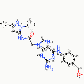 CCn1nc(C)cc1NC(=O)Cn1cnc2c(Nc3ccc(CO)cc3)nc(N)nc21